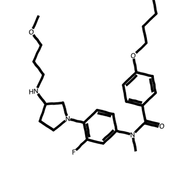 CCCCOc1ccc(C(=O)N(C)c2ccc(N3CCC(NCCCOC)C3)c(F)c2)cc1